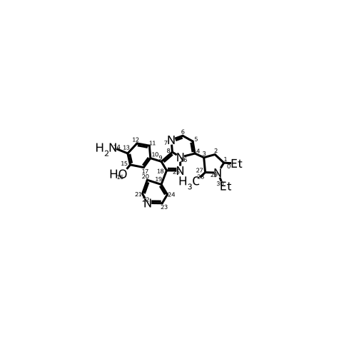 CCC1CC(c2ccnc3c(-c4ccc(N)c(O)c4)c(-c4ccncc4)nn23)C(C)N1CC